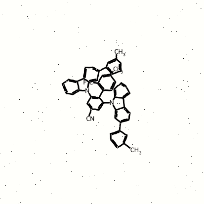 Cc1cccc(-c2ccc3c4ccccc4n(-c4cc(C#N)cc(-n5c6ccccc6c6ccc(-c7cccc(C)c7)cc65)c4-c4ccc(C(F)(F)F)cc4C(F)(F)F)c3c2)c1